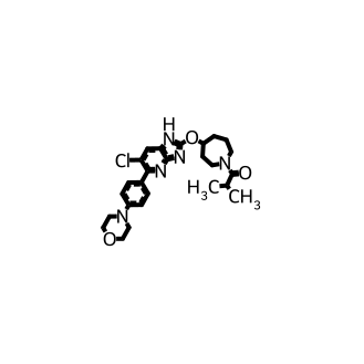 CC(C)C(=O)N1CCCC(Oc2nc3nc(-c4ccc(N5CCOCC5)cc4)c(Cl)cc3[nH]2)CC1